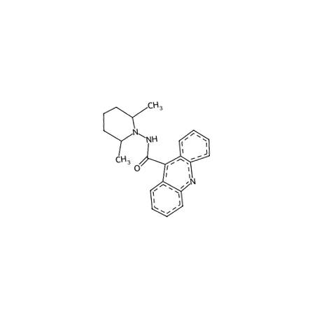 CC1CCCC(C)N1NC(=O)c1c2ccccc2nc2ccccc12